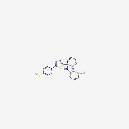 CSc1ccc(-c2ncc(C3(Nc4cccc(Cl)c4)C=CC=CN3)s2)cc1